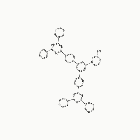 N#Cc1cccc(-c2cc(-c3ccc(-c4nc(-c5ccccc5)nc(-c5ccccc5)n4)cc3)cc(-c3ccc(-c4nc(-c5ccccc5)nc(-c5ccccc5)n4)cc3)c2)c1